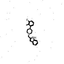 Cc1c(F)cccc1C1CCN(Cc2cc3ccccc3[nH]2)CC1